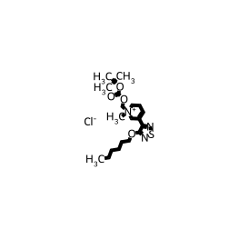 CCCCCCOc1nsnc1C1=CCC[N+](C)(COC(=O)OC(C)(C)C)C1.[Cl-]